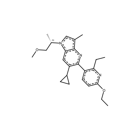 CCOc1ccc(-c2nc3c(C)cn([C@@H](C)COC)c3cc2C2CC2)c(CC)n1